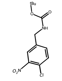 CC(C)(C)OC(=O)NCc1ccc(Cl)c([N+](=O)[O-])c1